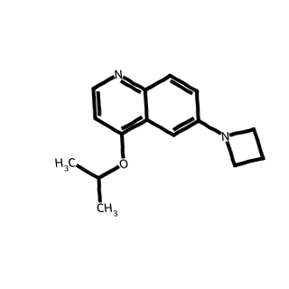 CC(C)Oc1ccnc2ccc(N3CCC3)cc12